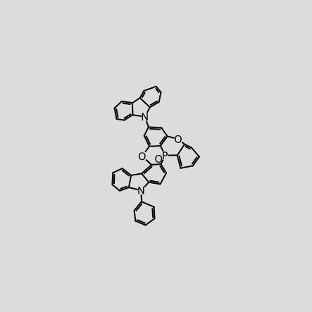 O=P12c3ccccc3Oc3cc(-n4c5ccccc5c5ccccc54)cc(c31)Oc1c2ccc2c1c1ccccc1n2-c1ccccc1